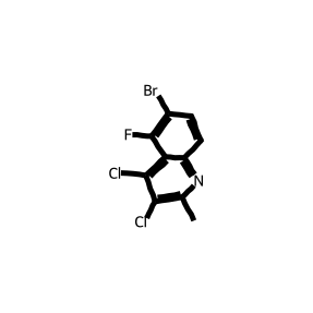 Cc1nc2ccc(Br)c(F)c2c(Cl)c1Cl